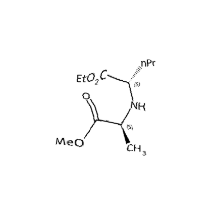 CCC[C@H](N[C@@H](C)C(=O)OC)C(=O)OCC